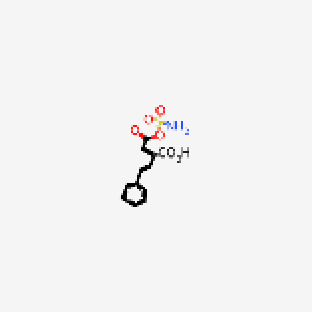 NS(=O)(=O)OC(=O)C=C(C=Cc1ccccc1)C(=O)O